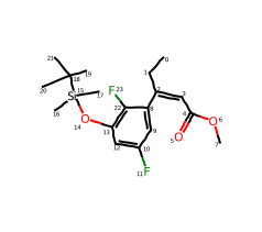 CC/C(=C/C(=O)OC)c1cc(F)cc(O[Si](C)(C)C(C)(C)C)c1F